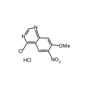 COc1cc2ncnc(Cl)c2cc1[N+](=O)[O-].Cl